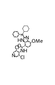 COc1ccc(C(=O)Nc2c(Cl)cncc2Cl)c2[nH]c([C@@H](c3ccccc3)C3CCCCC3)nc12